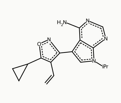 C=Cc1c(-c2cn(C(C)C)c3ncnc(N)c23)noc1C1CC1